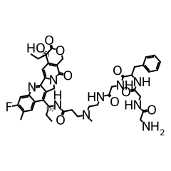 CC[C@H](NC(=O)CCN(C)CCNC(=O)CNC(=O)C(Cc1ccccc1)NC(=O)CNC(=O)CN)c1c2c(nc3cc(F)c(C)cc13)-c1cc3c(c(=O)n1C2)COC(=O)[C@]3(O)CC